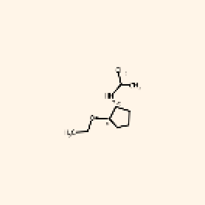 CCO[C@@H]1CCC[C@H]1NC(C)C